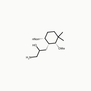 CCCCCCCCC[C@@H]1CCC(C)(C)[C@H](OC)[C@@H]1CC(O)CN